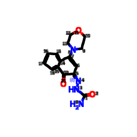 NC(=O)N/N=C1/C=C(N2CCOCC2)c2ccccc2C1=O